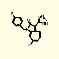 CC(C)c1cccc2c(-c3nnn[nH]3)c(=O)n(Cc3ccc(F)cc3)c-2c1